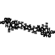 COC(=O)N[C@H](C(=O)N1C[C@@H](C)C[C@H]1c1nc2cc(-c3cc4sc(-c5ccc6[nH]c([C@@H]7C[C@H](C)CN7C(=O)[C@@H](NC(=O)OC)C(C)C)nc6c5)cc4s3)ccc2[nH]1)C(C)C